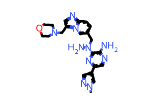 Cn1cc(-c2cnc(N)c(N(N)Cc3ccc4ncc(CN5CCOCC5)n4c3)n2)cn1